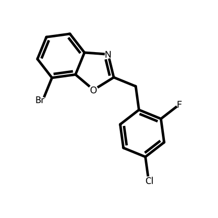 Fc1cc(Cl)ccc1Cc1nc2cccc(Br)c2o1